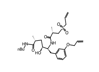 C=CCOc1cccc(C[C@H](NC(=O)[C@H](C)CS(=O)(=O)CC=C)[C@@H](O)C[C@@H](C)C(=O)NCCCC)c1